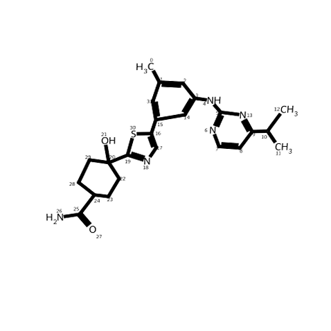 Cc1cc(Nc2nccc(C(C)C)n2)cc(-c2cnc(C3(O)CCC(C(N)=O)CC3)s2)c1